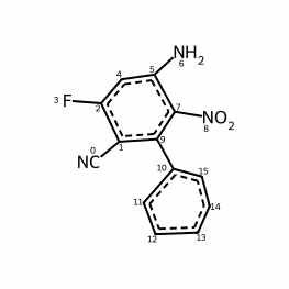 N#Cc1c(F)cc(N)c([N+](=O)[O-])c1-c1ccccc1